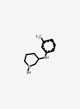 FC(F)(F)c1cccc(NC2CCCN(S)C2)c1